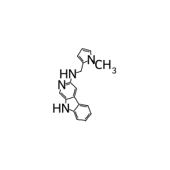 Cn1cccc1CNc1cc2c(cn1)[nH]c1ccccc12